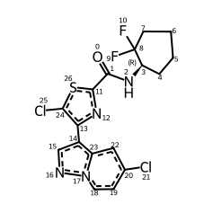 O=C(N[C@@H]1CCCCC1(F)F)c1nc(-c2cnn3ccc(Cl)cc23)c(Cl)s1